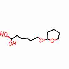 OC(O)CCCCCOC1CCCCO1